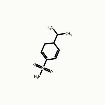 CC(C)C1C=CC(S(N)(=O)=O)=CC1